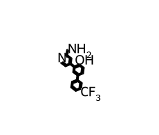 NCc1cc(-c2cc(-c3cccc(C(F)(F)F)c3)ccc2O)ccn1